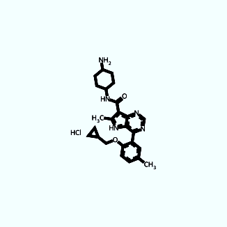 Cc1ccc(OCC2CC2)c(-c2ncnc3c(C(=O)NC4CCC(N)CC4)c(C)[nH]c23)c1.Cl